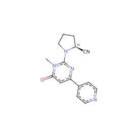 Cn1c(N2CCC[C@H]2C#N)nc(-c2ccncc2)cc1=O